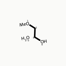 O.[CH2]OCCO